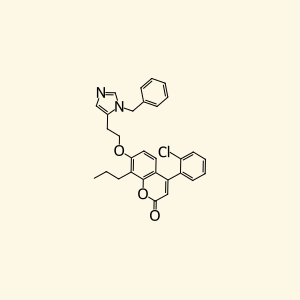 CCCc1c(OCCc2cncn2Cc2ccccc2)ccc2c(-c3ccccc3Cl)cc(=O)oc12